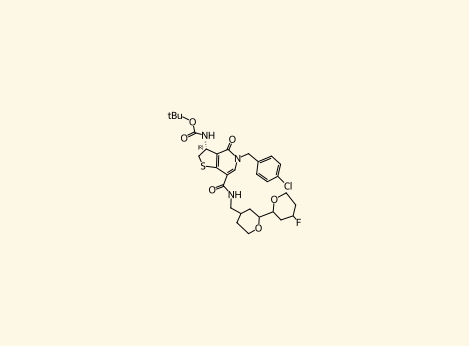 CC(C)(C)OC(=O)N[C@H]1CSc2c(C(=O)NCC3CCOC(C4CC(F)CCO4)C3)cn(Cc3ccc(Cl)cc3)c(=O)c21